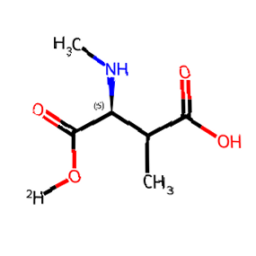 [2H]OC(=O)[C@@H](NC)C(C)C(=O)O